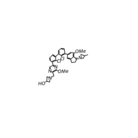 COc1cc(-c2cccc(-c3cccc(-c4cnc(CN5CC(O)C5)c(OC)n4)c3Cl)c2Cl)cc2c1[C@H](N1CC(C)C1)CC2